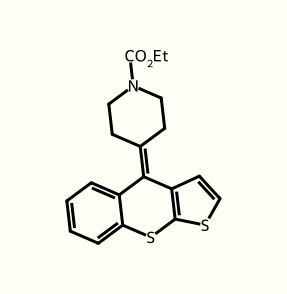 CCOC(=O)N1CCC(=C2c3ccccc3Sc3sccc32)CC1